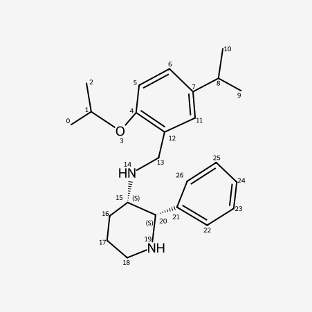 CC(C)Oc1ccc(C(C)C)cc1CN[C@H]1CCCN[C@H]1c1ccccc1